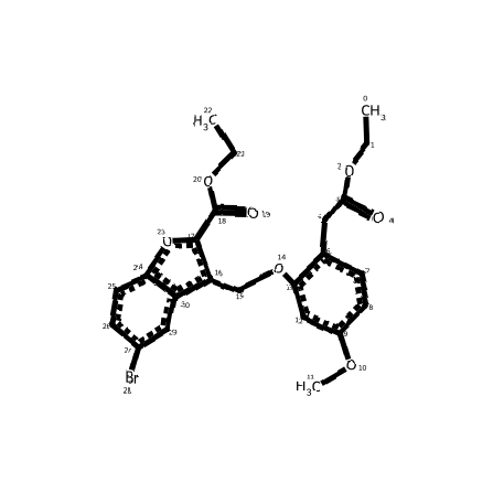 CCOC(=O)Cc1ccc(OC)cc1OCc1c(C(=O)OCC)oc2ccc(Br)cc12